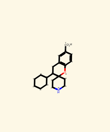 O=C(O)c1ccc2c(c1)CC(C1CCCCC1)C1(CCNCC1)O2